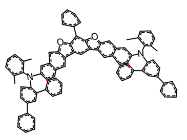 Cc1cccc(C)c1N(c1ccc2cc3c(cc2c1)oc1c(-c2ccccc2)c2oc4cc5cc(N(c6ccc(-c7ccccc7)cc6-c6ccccc6)c6c(C)cccc6C)ccc5cc4c2cc13)c1ccc(-c2ccccc2)cc1-c1ccccc1